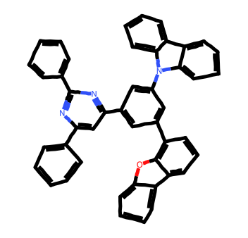 c1ccc(-c2cc(-c3cc(-c4cccc5c4oc4ccccc45)cc(-n4c5ccccc5c5ccccc54)c3)nc(-c3ccccc3)n2)cc1